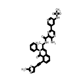 Cc1ncc(C#Cc2cccc3cc([C@H](C)NC(=O)c4nc(-c5cncc(NS(C)(=O)=O)c5)cnc4N)n(-c4ccccc4)c(=O)c23)s1